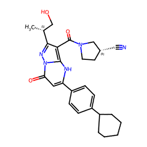 C[C@H](CO)c1nn2c(=O)cc(-c3ccc(C4CCCCC4)cc3)[nH]c2c1C(=O)N1CC[C@@H](C#N)C1